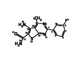 Cc1nc(-c2cccc(F)c2)nc2sc(C(N)=O)c(N)c12